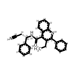 CCc1c(-c2ccccc2)nc2ccccc2c1C(=O)N[C@@H](CC#N)c1ccccc1